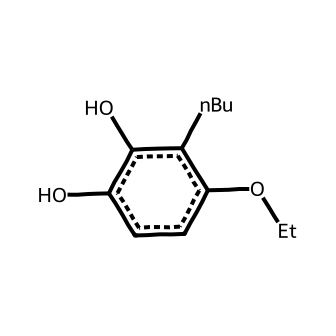 CCCCc1c(OCC)ccc(O)c1O